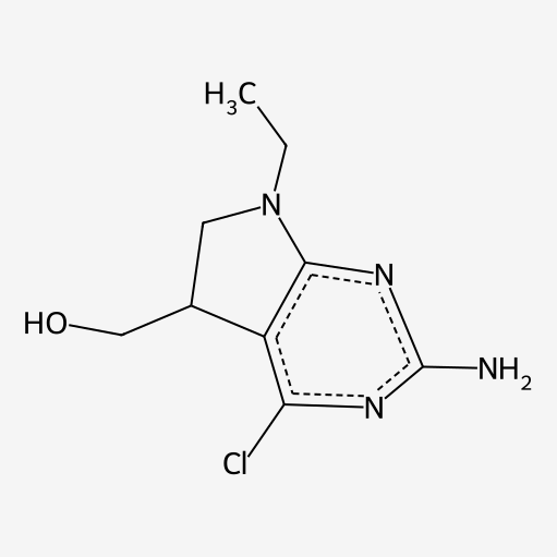 CCN1CC(CO)c2c(Cl)nc(N)nc21